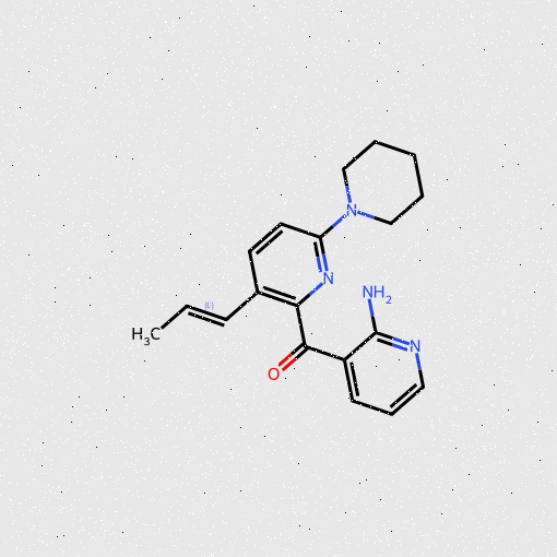 C/C=C/c1ccc(N2CCCCC2)nc1C(=O)c1cccnc1N